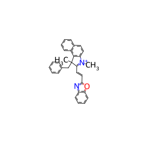 C[N+]1=C(/C=C/c2nc3ccccc3o2)C(C)(Cc2ccccc2)c2c1ccc1ccccc21